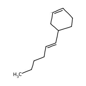 CCCCC=CC1C[C]=CCC1